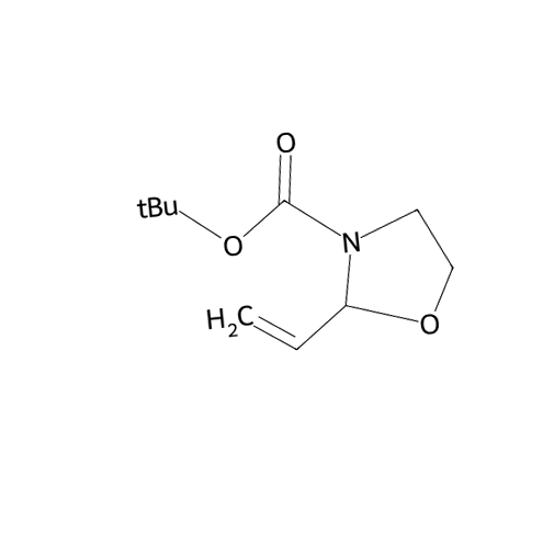 C=CC1OCCN1C(=O)OC(C)(C)C